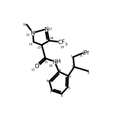 CC(C)CC(C)c1ccccc1NC(=O)C1CN(C)N=C1C(F)(F)F